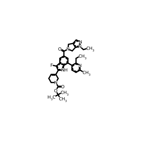 CCc1nc(C)ccc1-c1cc(C(=O)N2Cc3cnn(CC)c3C2)cc2c(F)c(C3=CCCN(C(=O)OC(C)(C)C)C3)[nH]c12